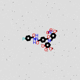 COc1ccc(CN(C(=O)c2ccc(C(=O)NNC(=O)c3ccc(F)cc3)cc2)c2cc(OC)c(OC)c(OC)c2)cc1[N+](=O)[O-]